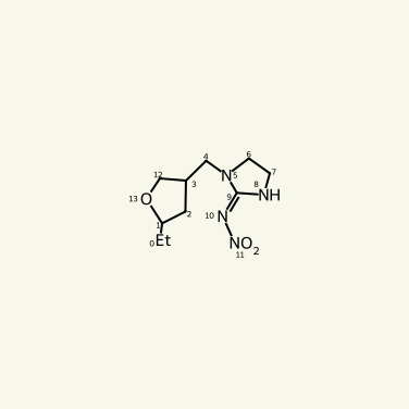 CCC1CC(CN2CCNC2=N[N+](=O)[O-])CO1